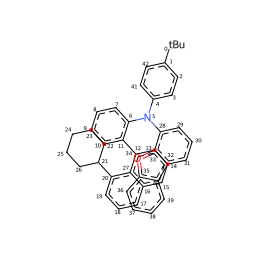 CC(C)(C)c1ccc(N(c2ccccc2-c2cccc3cccc(C4CCCCC4)c23)c2cccc3c2oc2ccccc23)cc1